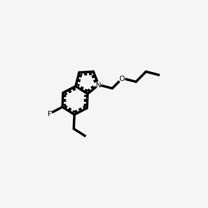 CCCOCn1ccc2cc(F)c(CC)cc21